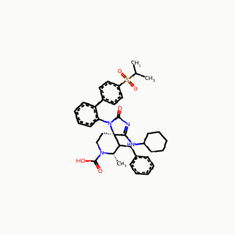 CC(C)S(=O)(=O)c1ccc(-c2ccccc2N2C(=O)N=C(NC3CCCCC3)[C@]23CCN(C(=O)O)[C@@H](C)C3Cc2ccccc2)cc1